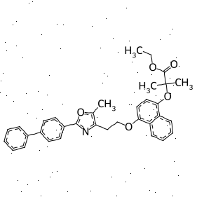 CCOC(=O)C(C)(C)Oc1ccc(OCCc2nc(-c3ccc(-c4ccccc4)cc3)oc2C)c2ccccc12